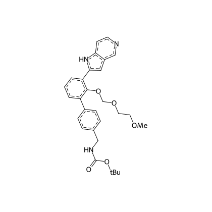 COCCOCOc1c(-c2ccc(CNC(=O)OC(C)(C)C)cc2)cccc1-c1cc2cnccc2[nH]1